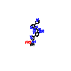 CCCC(O)Nc1cncc(-c2ccc3[nH]nc(-c4nc5c(-c6cccnc6)ccnc5[nH]4)c3c2)c1